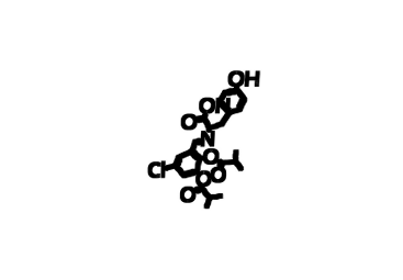 CC(C)C(=O)Oc1cc(Cl)cc(C=NC(Cc2ccc(O)cc2)C(=O)O)c1OC(=O)C(C)C